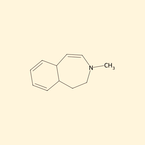 CN1C=CC2C=CC=CC2CC1